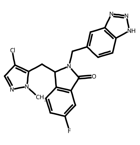 Cn1ncc(Cl)c1CC1c2ccc(F)cc2C(=O)N1Cc1ccc2[nH]nnc2c1